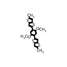 COc1cc(-c2cc3sc(C)cc3s2)c(OC)cc1-c1cc2sc(C)cc2s1